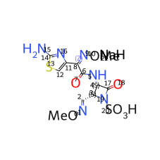 CON=C[C@@H]1[C@H](NC(=O)/C(=N\OC)c2csc(N)n2)C(=O)N1S(=O)(=O)O.[NaH]